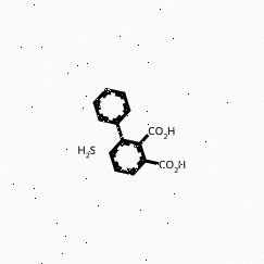 O=C(O)c1cccc(-c2ccccc2)c1C(=O)O.S